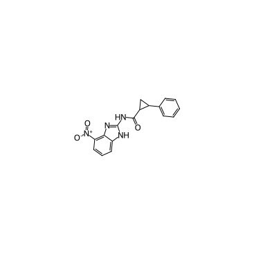 O=C(Nc1nc2c([N+](=O)[O-])cccc2[nH]1)C1CC1c1ccccc1